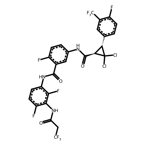 O=C(CC(F)(F)F)Nc1c(F)ccc(NC(=O)c2cc(NC(=O)[C@H]3[C@H](c4ccc(F)c(C(F)(F)F)c4)C3(Cl)Cl)ccc2F)c1F